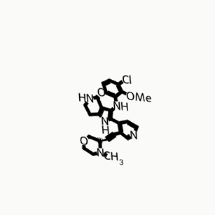 COc1c(Cl)cccc1Nc1c(-c2ccncc2C#C[C@@H]2COCCN2C)[nH]c2c1C(=O)NCC2